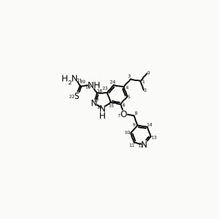 CC(C)Cc1cc(OCc2ccncc2)c2[nH]nc(NC(N)=S)c2c1